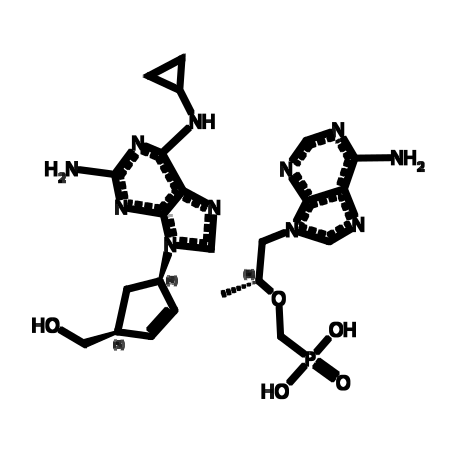 C[C@H](Cn1cnc2c(N)ncnc21)OCP(=O)(O)O.Nc1nc(NC2CC2)c2ncn([C@H]3C=C[C@@H](CO)C3)c2n1